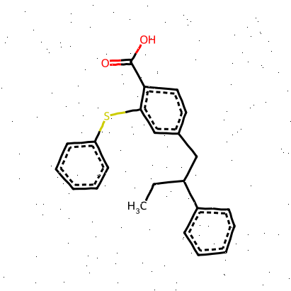 CCC(Cc1ccc(C(=O)O)c(Sc2ccccc2)c1)c1ccccc1